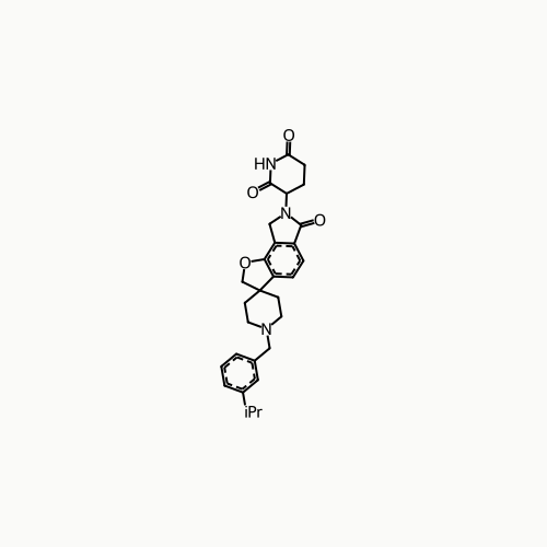 CC(C)c1cccc(CN2CCC3(CC2)COc2c3ccc3c2CN(C2CCC(=O)NC2=O)C3=O)c1